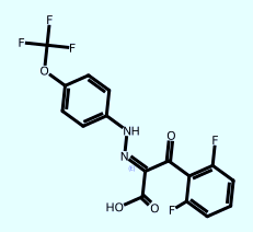 O=C(O)/C(=N/Nc1ccc(OC(F)(F)F)cc1)C(=O)c1c(F)cccc1F